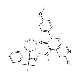 COc1ccc(N2C(=O)N([C@H](C)CO[Si](c3ccccc3)(c3ccccc3)C(C)(C)C)c3nc(Cl)ncc3[C@H]2C)cc1